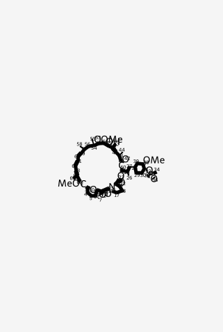 CO[C@H]1CC2CC[C@@H](C)[C@@](O)(O2)C(=O)C(=O)N2CCCCC2C(=O)O[C@H]([C@H](C)C[C@@H]2CC[C@@H](OP(C)(C)=O)[C@H](OC)C2)CC(=O)[C@H](C)/C=C(\C)[C@@H](O)[C@@H](OC)C(=O)[C@H](C)C[C@H](C)/C=C/C=C/C=C/1C